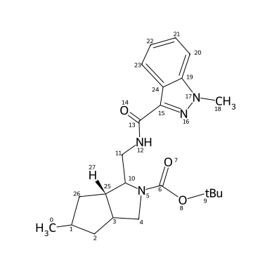 CC1CC2CN(C(=O)OC(C)(C)C)C(CNC(=O)c3nn(C)c4ccccc34)[C@H]2C1